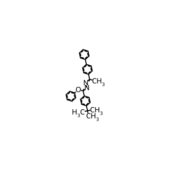 C/C(=N\N=C(/Oc1ccccc1)c1ccc(C(C)(C)C)cc1)c1ccc(-c2ccccc2)cc1